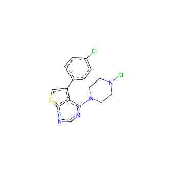 Clc1ccc(-c2csc3ncnc(N4CCN(Cl)CC4)c23)cc1